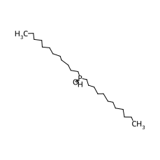 CCCCCCCCCCCC[PH](=O)CCCCCCCCCCCC